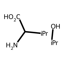 CC(C)C(N)C(=O)O.CC(C)O